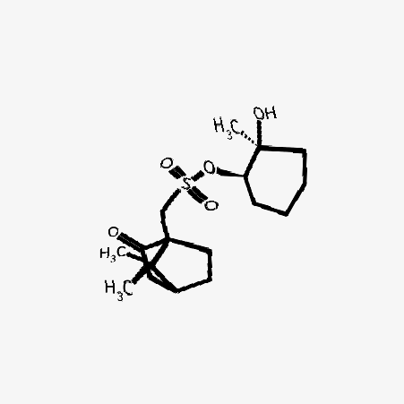 CC1(C)C2CCC1(CS(=O)(=O)O[C@@H]1CCCC[C@]1(C)O)C(=O)C2